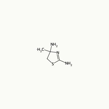 [CH2]C1(N)CSC(N)=N1